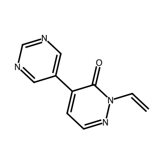 C=Cn1nccc(-c2cncnc2)c1=O